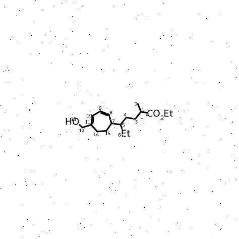 CCOC(=O)C(C)CCC(CC)C1C=CC=C(CO)CC1